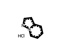 Cl.c1ccn2nccc2c1